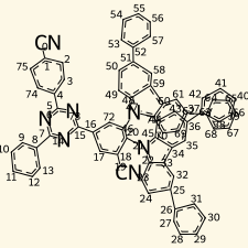 N#Cc1ccc(-c2nc(-c3ccccc3)nc(-c3cc(C#N)c(-n4c5ccc(-c6ccccc6)cc5c5cc(-c6ccccc6)ccc54)c(-n4c5ccc(-c6ccccc6)cc5c5cc(-c6ccccc6)ccc54)c3)n2)cc1